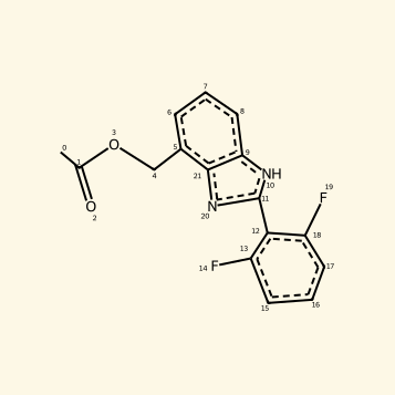 CC(=O)OCc1cccc2[nH]c(-c3c(F)cccc3F)nc12